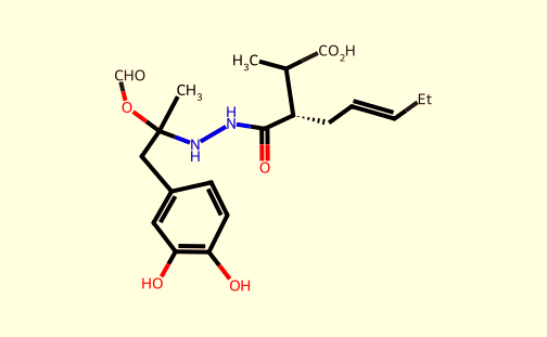 CC/C=C/C[C@H](C(=O)NNC(C)(Cc1ccc(O)c(O)c1)OC=O)C(C)C(=O)O